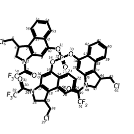 O=C(N1CC(CCl)c2c1cc(OP(=O)(Oc1cc3c(c4ccccc14)C(CCl)CN3C(=O)C(F)(F)F)Oc1cc3c(c4ccccc14)C(CCl)CN3C(=O)C(F)(F)F)c1ccccc21)C(F)(F)F